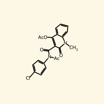 CC(=O)Oc1c(C(=O)N(C(C)=O)c2ccc(Cl)cc2)c(=O)n(C)c2ccccc12